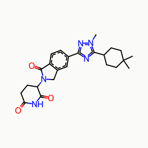 Cn1nc(-c2ccc3c(c2)CN(C2CCC(=O)NC2=O)C3=O)nc1C1CCC(C)(C)CC1